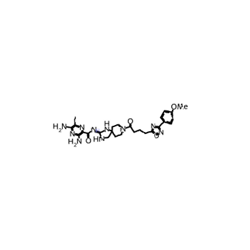 COc1ccc(-c2noc(CCCC(=O)N3CCC4(CC3)CN/C(=N\C(=O)c3nc(I)c(N)nc3N)N4)n2)cc1